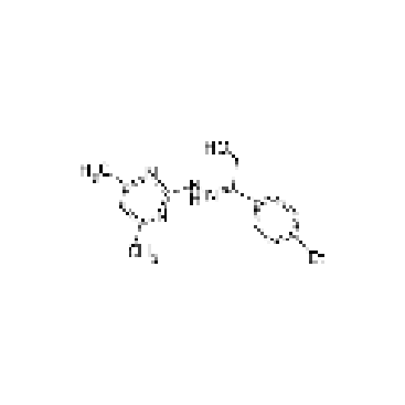 CCc1ccc(C(CO)=NNc2nc(C)cc(C)n2)cc1